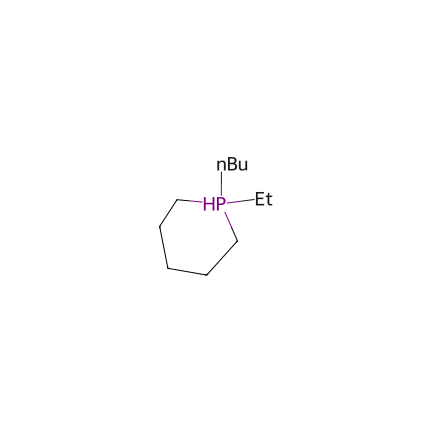 CCCC[PH]1(CC)CCCCC1